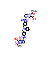 COC(=O)N[C@H](C(=O)N1CCC[C@H]1c1nc2ccc(CN(Cc3ccc4nc([C@@H]5CCCN5C(=O)[C@@H](NC(=O)OC)[C@@H](C)O)[nH]c4c3)c3ccccc3)cc2[nH]1)[C@@H](C)O